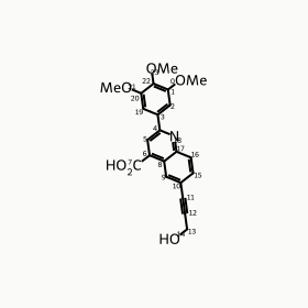 COc1cc(-c2cc(C(=O)O)c3cc(C#CCO)ccc3n2)cc(OC)c1OC